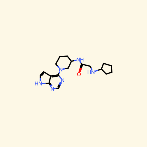 O=C(CNC1CCCC1)NC1CCCN(c2ncnc3[nH]ccc23)C1